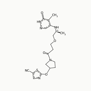 Cc1c(N[C@@H](C)COCCC(=O)N2CCC(Oc3ncc(C#N)s3)C2)cn[nH]c1=O